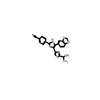 CC(O)c1nc(-c2nc(-c3ccc(C#N)cc3)[nH]c2-c2ccc3c(c2)OCO3)cs1